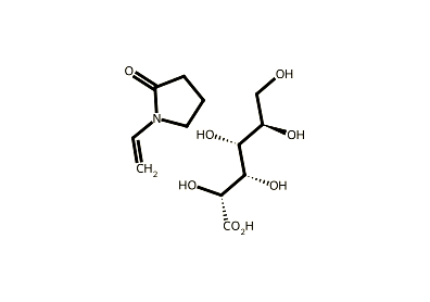 C=CN1CCCC1=O.O=C(O)[C@H](O)[C@@H](O)[C@H](O)[C@H](O)CO